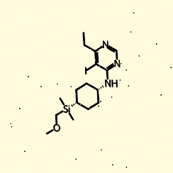 CCc1ncnc(N[C@H]2CC[C@@H]([Si](C)(C)COC)CC2)c1I